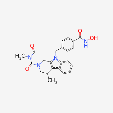 CC1CN(C(=O)N(C)C=O)Cc2c1c1ccccc1n2Cc1ccc(C(=O)NO)cc1